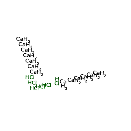 Cl.Cl.Cl.Cl.Cl.Cl.[CaH2].[CaH2].[CaH2].[CaH2].[CaH2].[CaH2].[CaH2].[CaH2].[CaH2].[CaH2].[CaH2].[CaH2].[CaH2]